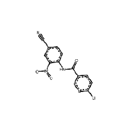 N#Cc1ccc(NC(=O)c2ccc(Cl)nc2)c([N+](=O)[O-])c1